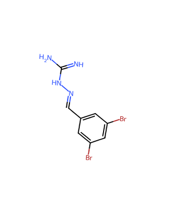 N=C(N)NN=Cc1cc(Br)cc(Br)c1